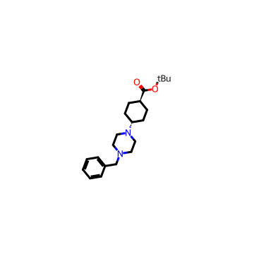 CC(C)(C)OC(=O)[C@H]1CC[C@H](N2CCN(Cc3ccccc3)CC2)CC1